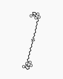 O=C(CCCCCCCCCCSSCCCCCCCCCCC(=O)ON1C(=O)CCC1=O)ON1C(=O)CCC1=O